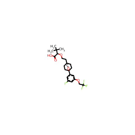 CC(C)(C)C(OCCC12CCC(c3cc(F)cc(OCC(F)(F)F)c3)(CC1)OC2)C(=O)O